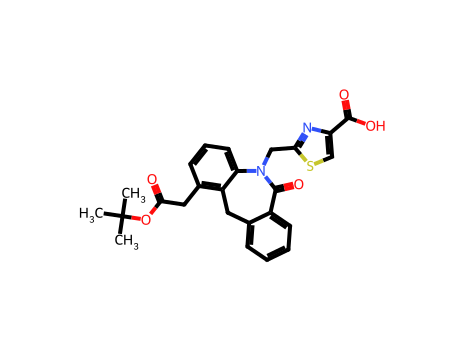 CC(C)(C)OC(=O)Cc1cccc2c1Cc1ccccc1C(=O)N2Cc1nc(C(=O)O)cs1